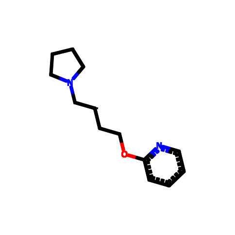 [CH](CCOc1ccccn1)CN1CCCC1